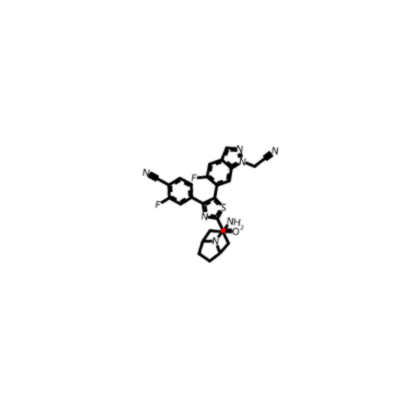 N#CCn1ncc2cc(F)c(-c3sc(C(=O)N4C5CCC4CC(N)C5)nc3-c3ccc(C#N)c(F)c3)cc21